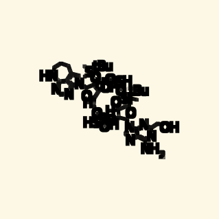 CC(C)(C)[Si](C)(C)CO[C@H]1[C@H]2OP(=O)(S)OC[C@H]3O[C@@H](n4cc5c6c(ncnc64)NCCC5)[C@H](O[Si](C)(C)C(C)(C)C)[C@@H]3OP(=O)(S)OC[C@H]1O[C@H]2n1cnc2c(N)nc(CO)nc21